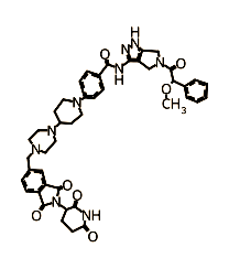 COC(C(=O)N1Cc2[nH]nc(NC(=O)c3ccc(N4CCC(N5CCN(Cc6ccc7c(c6)C(=O)N(C6CCC(=O)NC6=O)C7=O)CC5)CC4)cc3)c2C1)c1ccccc1